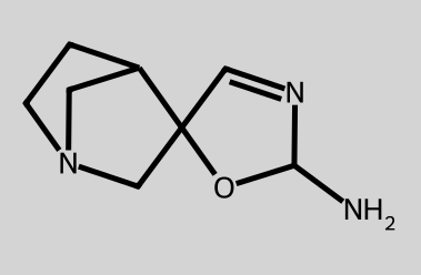 NC1N=CC2(CN3CCC2C3)O1